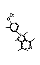 CCOc1ccc(-n2c(C)c3c(C)nnc(C)c3c2C)cc1C